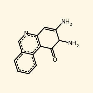 NC1=Cc2ncc3ccccc3c2C(=O)C1N